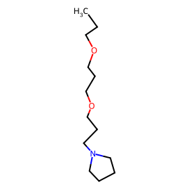 CCCOCCCOCCCN1CCCC1